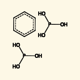 OP(O)O.OP(O)O.c1ccccc1